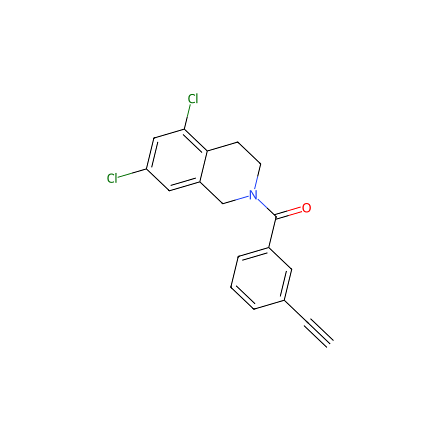 C#Cc1cccc(C(=O)N2CCc3c(Cl)cc(Cl)cc3C2)c1